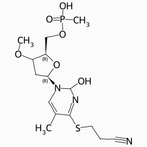 COC1C[C@H](N2C=C(C)C(SCCC#N)=NC2O)O[C@@H]1COP(C)(=O)O